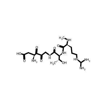 CN[C@@H](CCCNC(N)N)C(=O)N[C@H](C(=O)NCC(=O)C(=O)[C@@H](N)CC(=O)O)[C@@H](C)O